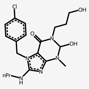 CCCNc1nc2c(n1Cc1ccc(Cl)cc1)C(=O)N(CCCO)C(O)N2C